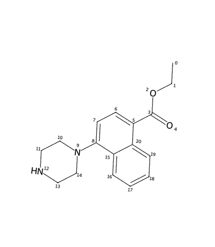 CCOC(=O)c1ccc(N2CCNCC2)c2ccccc12